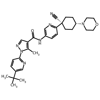 Cc1c(C(=O)Nc2ccc([C@]3(C#N)CC[C@@H](N4CCOCC4)CC3)nc2)cnn1-c1ccc(C(C)(C)C)cn1